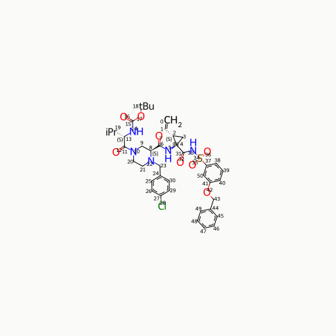 C=C[C@@H]1C[C@]1(NC(=O)[C@@H]1CN(C(=O)[C@@H](NC(=O)OC(C)(C)C)C(C)C)CCN1Cc1ccc(Cl)cc1)C(=O)NS(=O)(=O)c1cccc(OCc2ccccc2)c1